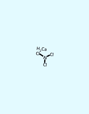 [CaH2].[Cl][Al]([Cl])[Cl]